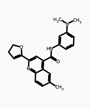 Cc1ccc2nc(C3=CCCO3)cc(C(=O)Nc3cccc(N(C)C)c3)c2c1